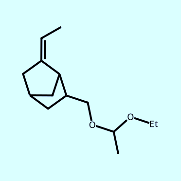 CC=C1CC2CC(COC(C)OCC)C1C2